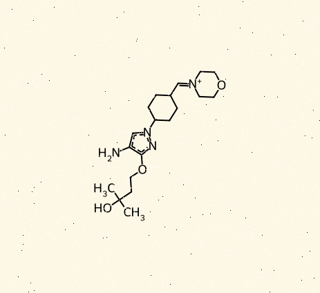 CC(C)(O)CCOc1nn(C2CCC(C=[N+]3CCOCC3)CC2)cc1N